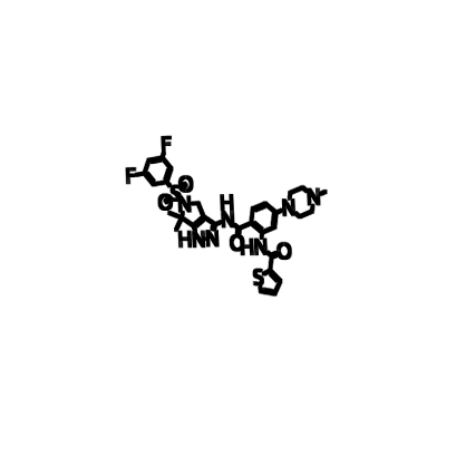 CN1CCN(c2ccc(C(=O)Nc3n[nH]c4c3CN(S(=O)(=O)c3cc(F)cc(F)c3)C4(C)C)c(NC(=O)c3cccs3)c2)CC1